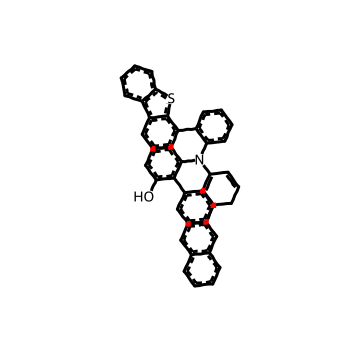 Oc1cccc(N(C2=CC(c3ccc4ccccc4c3)CC=C2)c2ccccc2-c2cccc3c2sc2ccccc23)c1-c1ccccc1